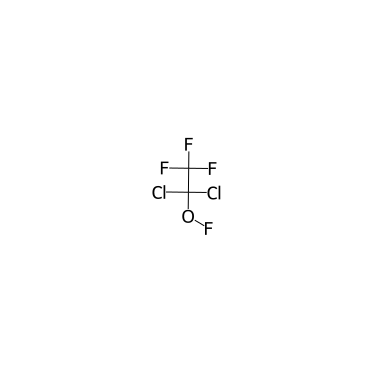 FOC(Cl)(Cl)C(F)(F)F